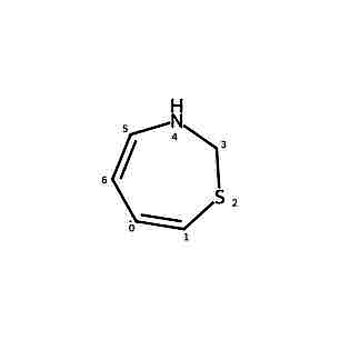 [C]1=CSCNC=C1